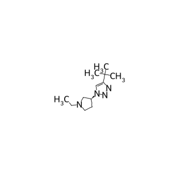 CCN1CC[C@H](n2cc(C(C)(C)C)nn2)C1